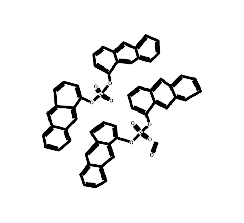 C=O.O=S(=O)(Oc1cccc2cc3ccccc3cc12)Oc1cccc2cc3ccccc3cc12.O=S(=O)(Oc1cccc2cc3ccccc3cc12)Oc1cccc2cc3ccccc3cc12